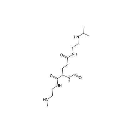 CNCCNC(=O)C(CCC(=O)NCCNC(C)C)NC=O